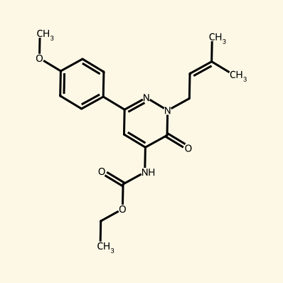 CCOC(=O)Nc1cc(-c2ccc(OC)cc2)nn(CC=C(C)C)c1=O